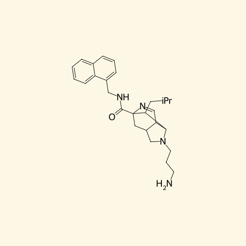 CC(C)CC1C2C3C=NC1(C(=O)NCc1cccc4ccccc14)CC3CN2CCCN